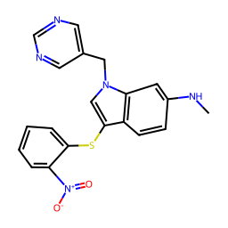 CNc1ccc2c(Sc3ccccc3[N+](=O)[O-])cn(Cc3cncnc3)c2c1